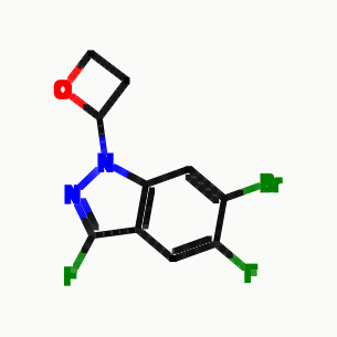 Fc1cc2c(F)nn(C3CCO3)c2cc1Br